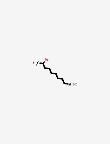 CCCCCCCCCCCCCC(C)Br